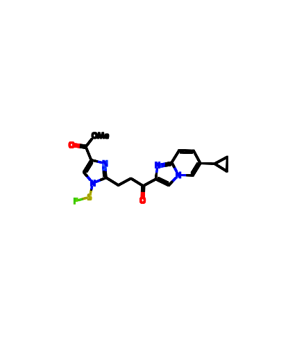 COC(=O)c1cn(SF)c(CCC(=O)c2cn3cc(C4CC4)ccc3n2)n1